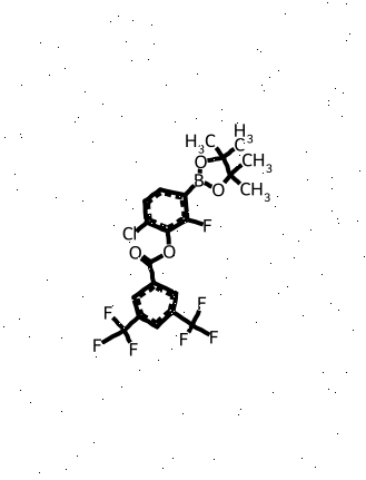 CC1(C)OB(c2ccc(Cl)c(OC(=O)c3cc(C(F)(F)F)cc(C(F)(F)F)c3)c2F)OC1(C)C